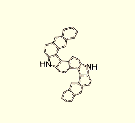 c1ccc2cc3c(ccc4[nH]c5ccc6c(ccc7[nH]c8ccc9cc%10ccccc%10cc9c8c76)c5c43)cc2c1